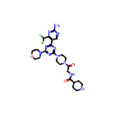 Nc1ncc(-c2nc(N3CCOCC3)nc(N3CCN(C(=O)CNC(=O)C4CCNCC4)CC3)n2)c(C(F)F)n1